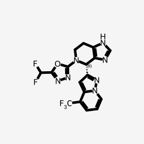 FC(F)c1nnc(N2CCc3[nH]cnc3[C@@H]2c2cc3c(C(F)(F)F)cccn3n2)o1